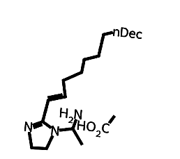 CC(=O)O.CCCCCCCCCCCCCCCC=CC1=NCCN1C(C)N